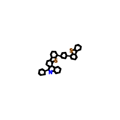 c1ccc(-c2nc3ccccc3c3c2ccc2c4cccc(-c5ccc(-c6cccc7c6sc6ccccc67)cc5)c4sc23)cc1